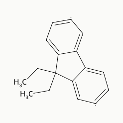 CCC1(CC)c2c[c]ccc2-c2c[c]ccc21